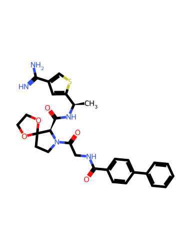 C[C@@H](NC(=O)[C@H]1N(C(=O)CNC(=O)c2ccc(-c3ccccc3)cc2)CCC12OCCO2)c1cc(C(=N)N)cs1